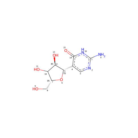 Nc1ncc([C@@H]2O[C@H](CO)C(O)[C@H]2O)c(=O)[nH]1